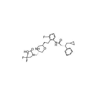 O=C(C[C@H](CC1CC1)c1ccccc1)Nc1cccc(F)c1CC[C@@H]1CN[C@@H](CN(CC(F)(F)F)C(=O)O)CO1